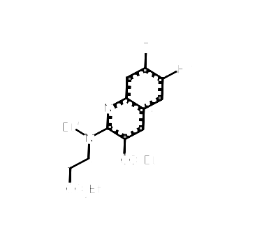 CCOC(=O)CCN(CC)c1nc2cc(F)c(F)cc2cc1C(=O)OCC